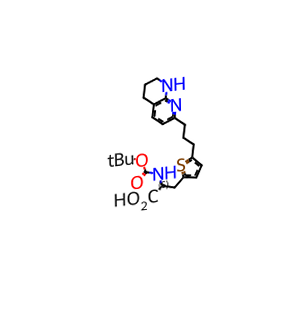 CC(C)(C)OC(=O)N[C@@H](Cc1ccc(CCCc2ccc3c(n2)NCCC3)s1)C(=O)O